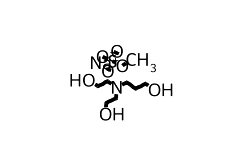 COS(=O)(=O)[O-].OCCCN(CCO)CCO.[Na+]